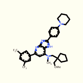 COCC1(CN(C)c2cc(-c3cc(C(F)(F)F)cc(C(F)(F)F)c3)nc3nc(-c4ccc(N5CCCCC5)cc4)[nH]c23)CCCC1